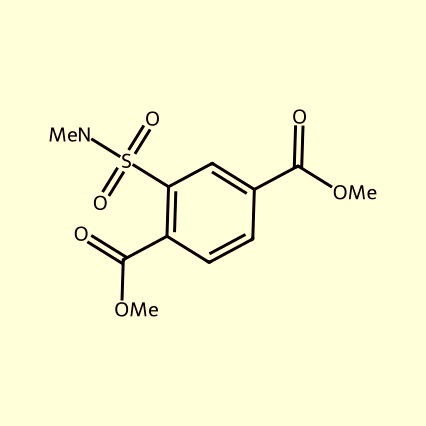 CNS(=O)(=O)c1cc(C(=O)OC)ccc1C(=O)OC